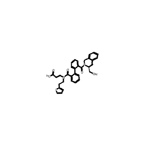 O=C(O)CCN(CCc1cccs1)C(=O)c1ccccc1-c1ccccc1C(=O)N1Cc2ccccc2C[C@H]1CO